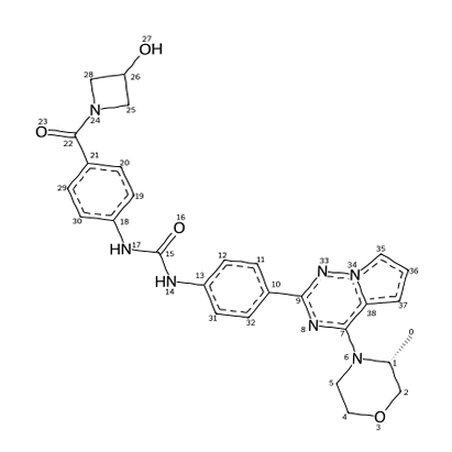 C[C@@H]1COCCN1c1nc(-c2ccc(NC(=O)Nc3ccc(C(=O)N4CC(O)C4)cc3)cc2)nn2cccc12